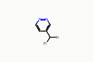 CCC(CC)c1ccnnc1